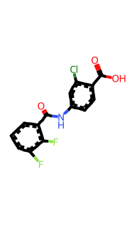 O=C(O)c1ccc(NC(=O)c2cccc(F)c2F)cc1Cl